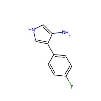 Nc1c[nH]cc1-c1ccc(F)cc1